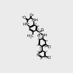 Cc1cc2[nH]c(=O)c(=O)[nH]c2cc1S(=O)(=O)Nc1ccc(-c2cncc(Cl)c2)c(Cl)c1